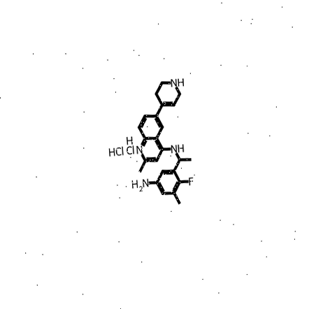 Cc1cc(NC(C)c2cc(N)cc(C)c2F)c2cc(C3=CCNCC3)ccc2n1.Cl.Cl